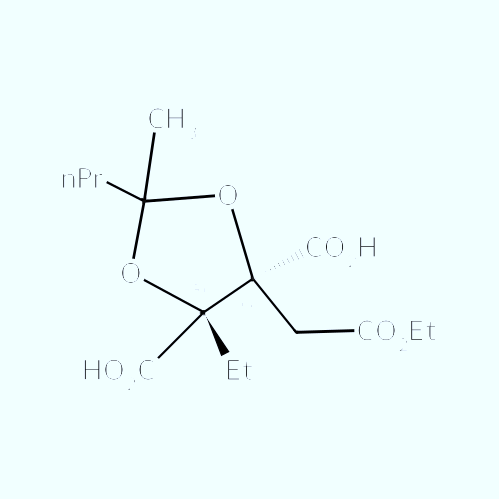 CCCC1(C)O[C@@](CC)(C(=O)O)[C@@](CC(=O)OCC)(C(=O)O)O1